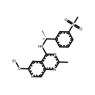 CCOc1cc2c(N[C@H](C)c3cccc(S(C)(=O)=O)c3)nc(C)nc2cn1